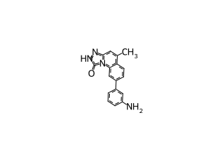 Cc1cc2n[nH]c(=O)n2c2cc(-c3cccc(N)c3)ccc12